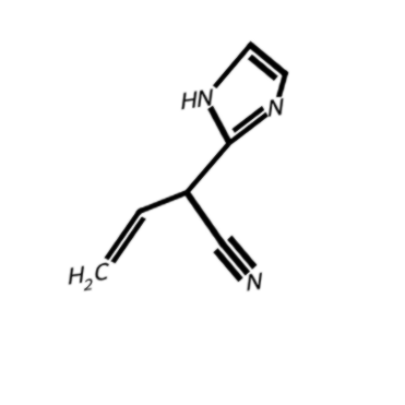 C=CC(C#N)c1ncc[nH]1